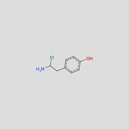 NC(Cl)Cc1ccc(O)cc1